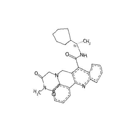 C[C@H](NC(=O)c1c(CN2CC(=O)N(C)C(=O)C2)c(-c2ccccc2)nc2ccccc12)C1CCCCC1